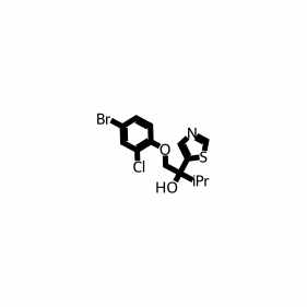 CC(C)C(O)(COc1ccc(Br)cc1Cl)c1cncs1